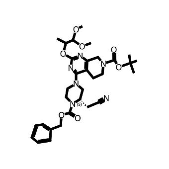 COC(OC)C(C)Oc1nc2c(c(N3CCN(C(=O)OCc4ccccc4)[C@@H](CC#N)C3)n1)CCN(C(=O)OC(C)(C)C)C2